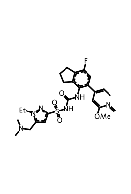 C=N/C(=C\C(=C/C)c1cc(F)c2c(c1NC(=O)NS(=O)(=O)c1cc(CN(C)C)n(CC)n1)CCC2)OC